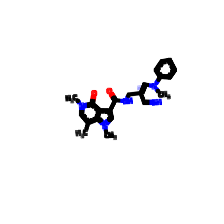 Cc1cn(C)c(=O)c2c(C(=O)NC/C(C=N)=C/N(C)c3ccccc3)cn(C)c12